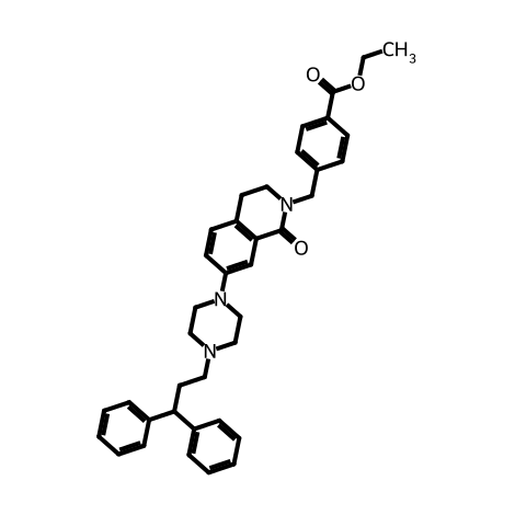 CCOC(=O)c1ccc(CN2CCc3ccc(N4CCN(CCC(c5ccccc5)c5ccccc5)CC4)cc3C2=O)cc1